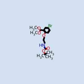 COC(OC)c1cc(Br)ccc1OCCCNC(=O)OC(C)(C)C